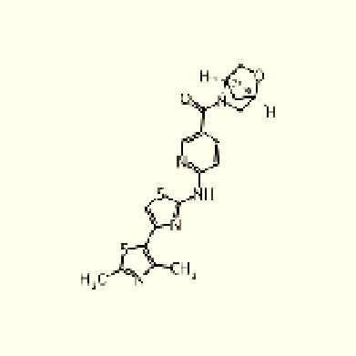 Cc1nc(C)c(-c2csc(Nc3ccc(C(=O)N4C[C@H]5C[C@@H]4CO5)cn3)n2)s1